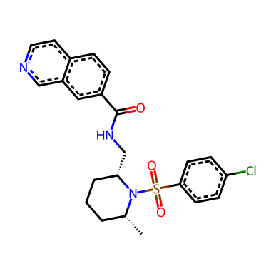 C[C@@H]1CCC[C@H](CNC(=O)c2ccc3ccncc3c2)N1S(=O)(=O)c1ccc(Cl)cc1